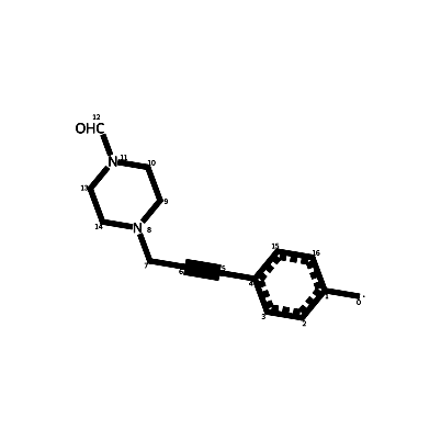 [CH2]c1ccc(C#CCN2CCN(C=O)CC2)cc1